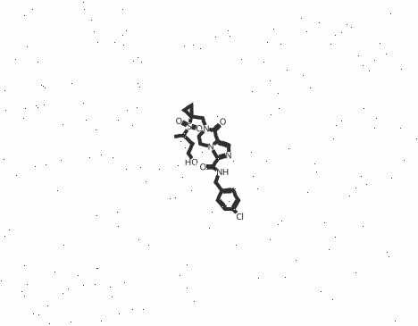 CC(CCO)S(=O)(=O)C1(CN2CCn3c(cnc3C(=O)NCc3ccc(Cl)cc3)C2=O)CC1